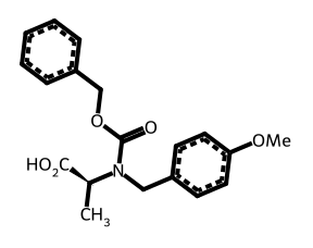 COc1ccc(CN(C(=O)OCc2ccccc2)[C@@H](C)C(=O)O)cc1